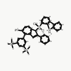 CC(C)c1ccc2c(c1-c1cc([Si](C)(C)C)cc([Si](C)(C)C)c1)C=C(c1ccccc1)[CH]2[Zr]([Cl])([Cl])[c]1cccc2c1[SiH2]c1ccccc1-2